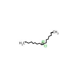 C=CCCCCCCC[Si](Cl)(Cl)CCCCCC=C